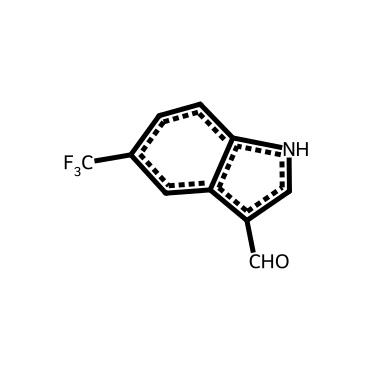 O=Cc1c[nH]c2ccc(C(F)(F)F)cc12